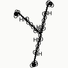 O=C(CCOC=C(COCCC(=O)NCCOCCOCCOCCC(=O)NCCCCCCCC(=O)ON1C(=O)CCC1=O)COCCC(=O)NCCOCCOCCOCCC(=O)NCCCCCCCC(=O)ON1C(=O)CCC1=O)NCCOCCOCCOCCC(=O)NCCCCCCCC(=O)ON1C(=O)CCC1=O